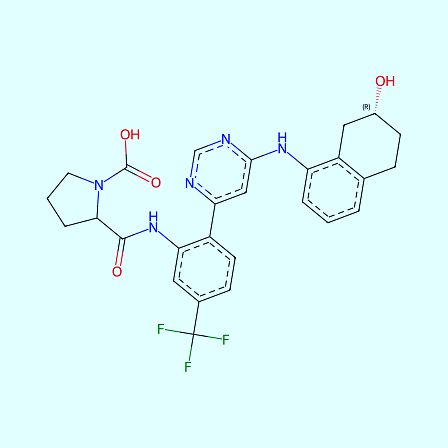 O=C(Nc1cc(C(F)(F)F)ccc1-c1cc(Nc2cccc3c2C[C@H](O)CC3)ncn1)C1CCCN1C(=O)O